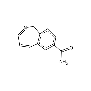 NC(=O)c1ccc2c(c1)C=CC=NC2